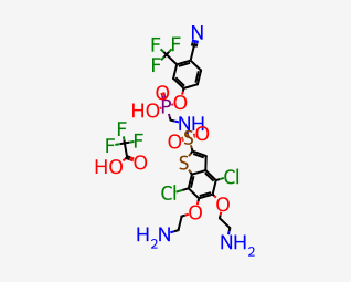 N#Cc1ccc(OP(=O)(O)CNS(=O)(=O)c2cc3c(Cl)c(OCCN)c(OCCN)c(Cl)c3s2)cc1C(F)(F)F.O=C(O)C(F)(F)F